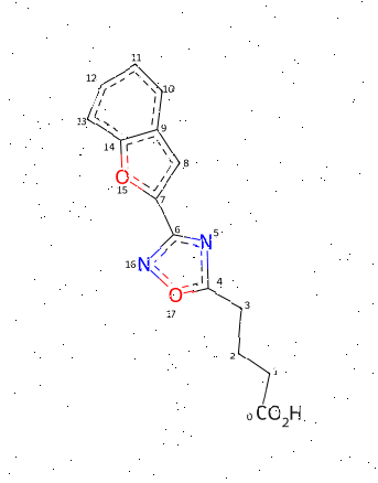 O=C(O)CCCc1nc(-c2cc3ccccc3o2)no1